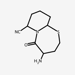 N#CC1CCCC2SCCC(N)C(=O)N12